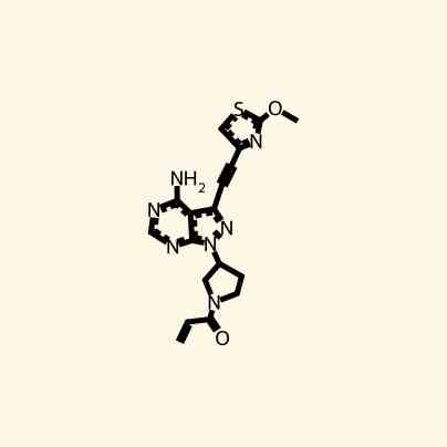 C=CC(=O)N1CCC(n2nc(C#Cc3csc(OC)n3)c3c(N)ncnc32)C1